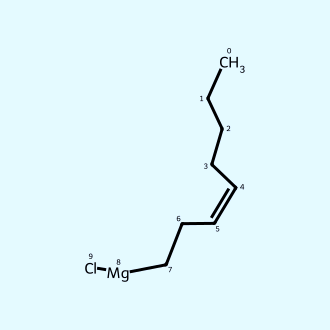 CCCC/C=C\C[CH2][Mg][Cl]